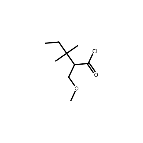 CCC(C)(C)C(COC)C(=O)Cl